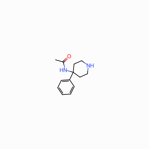 CC(=O)NC1(c2ccccc2)CCNCC1